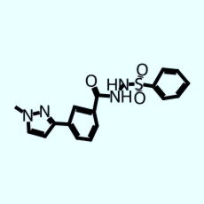 Cn1ccc(-c2cccc(C(=O)NNS(=O)(=O)c3ccccc3)c2)n1